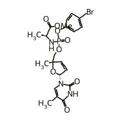 COC(=O)[C@H](C)NP(=O)(OC[C@]1(C)C=C[C@H](n2cc(C)c(=O)[nH]c2=O)O1)Oc1ccc(Br)cc1